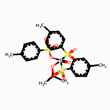 Cc1ccc(S(=O)(=O)[O][Ti](=[O])([O]C(C)C)([S](=O)(=O)c2ccc(C)cc2)[S](=O)(=O)c2ccc(C)cc2)cc1